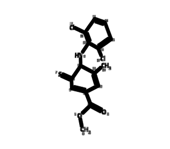 COC(=O)C1=CC(=S)C(Nc2c(Cl)cccc2Cl)C(C)=C1